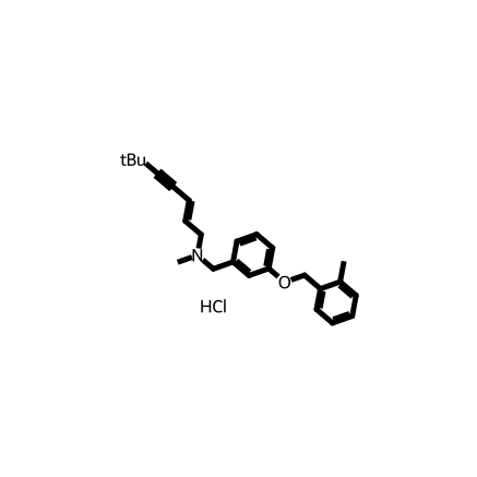 Cc1ccccc1COc1cccc(CN(C)C/C=C/C#CC(C)(C)C)c1.Cl